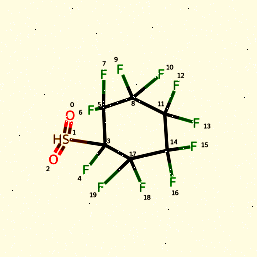 O=[SH](=O)C1(F)C(F)(F)C(F)(F)C(F)(F)C(F)(F)C1(F)F